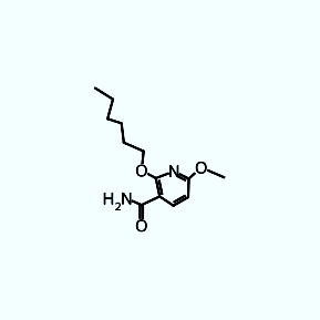 CCCCCCOc1nc(OC)ccc1C(N)=O